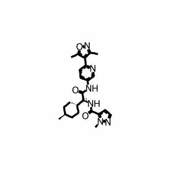 Cc1noc(C)c1-c1ccc(NC(=O)[C@@H](NC(=O)c2ccnn2C)[C@H]2CC[C@H](C)CC2)cn1